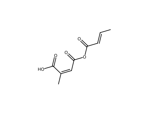 CC=CC(=O)OC(=O)/C=C(/C)C(=O)O